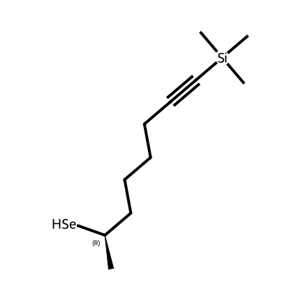 C[C@@H]([SeH])CCCCC#C[Si](C)(C)C